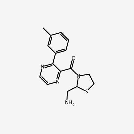 Cc1cccc(-c2nccnc2C(=O)N2CCSC2CN)c1